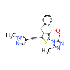 Cc1nnc2n1-c1sc(C#Cc3cnn(C)c3)c(Cc3ccccc3)c1COC2